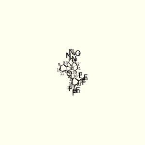 O=C1N=NC(CC2(c3ccccc3OCc3cc(C(F)(F)F)cc(C(F)(F)F)c3)CCCCC2)=N1